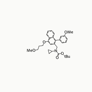 COCCCOc1cc(CN(C(=O)OC(C)(C)C)C2CC2)c(-c2cccc(OC)c2)c2ccccc12